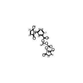 CC(OC(=O)ON1C(=O)CCC1=O)OC(=O)c1cccc(N2C(=O)C=CC2=O)c1